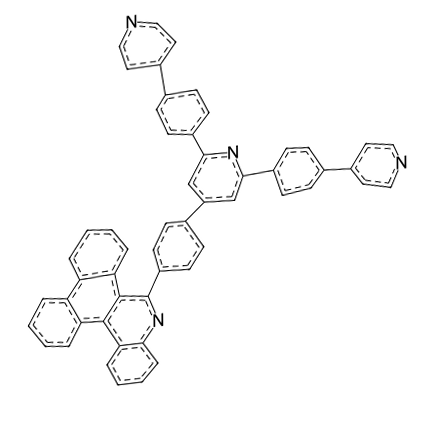 c1ccc2c(c1)nc(-c1ccc(-c3cc(-c4ccc(-c5ccncc5)cc4)nc(-c4ccc(-c5ccncc5)cc4)c3)cc1)c1c3ccccc3c3ccccc3c21